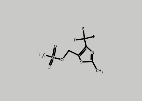 Cc1nc(C(F)(F)F)c(COS(C)(=O)=O)s1